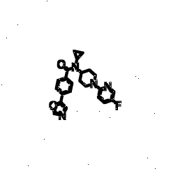 O=C(c1ccc(-c2cnco2)cc1)N(C1CC1)C1CCN(c2ccc(F)cn2)CC1